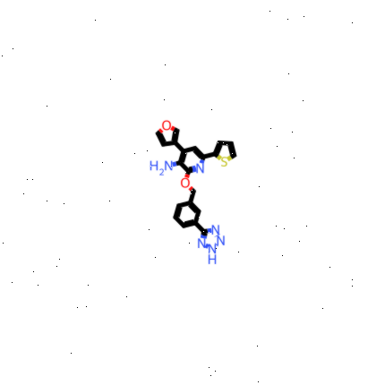 Nc1c(-c2ccoc2)cc(-c2cccs2)nc1OCc1cccc(-c2nn[nH]n2)c1